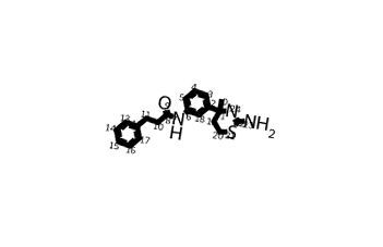 CC1(c2cccc(NC(=O)CCc3ccccc3)c2)CCSC(N)=N1